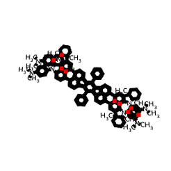 CN(C)c1ccc(N2c3ccc(-c4ccc5c6c(-c7ccccc7)c7c8ccc(-c9ccc%10c(c9)C9(C)CCCCC9(C)N%10c9ccc(N(C)C)cc9)c9c(-c%10ccc%11c(c%10)C%10(C)CCCCC%10(C)N%11c%10ccc(N(C)C)cc%10)ccc(c7c(-c7ccccc7)c6c6ccc(-c7ccc%10c(c7)C7(C)CCCCC7(C)N%10c7ccc(N(C)C)cc7)c4c56)c98)cc3C3(C)CCCCC23C)cc1